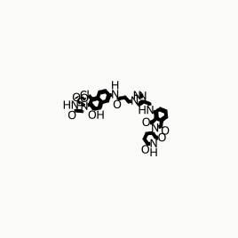 O=C1CCC(N2C(=O)c3cccc(NCc4cn(CCC(=O)Nc5ccc6c(Cl)c(N7CC(=O)NS7(=O)=O)c(O)cc6c5)nn4)c3C2=O)C(=O)N1